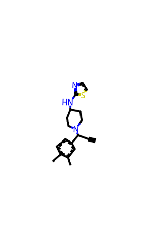 C#CC(c1ccc(C)c(C)c1)N1CCC(Nc2nccs2)CC1